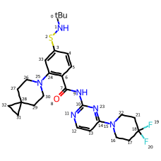 CC(C)(C)NSc1ccc(C(=O)Nc2nccc(N3CCC(F)(F)CC3)n2)c(N2CCC3(CC2)CC3)c1